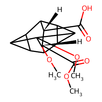 COC(=O)[C@@H]1C2C3C4C(C5C2C5C(OC)(OC)C34)[C@@H]1C(=O)O